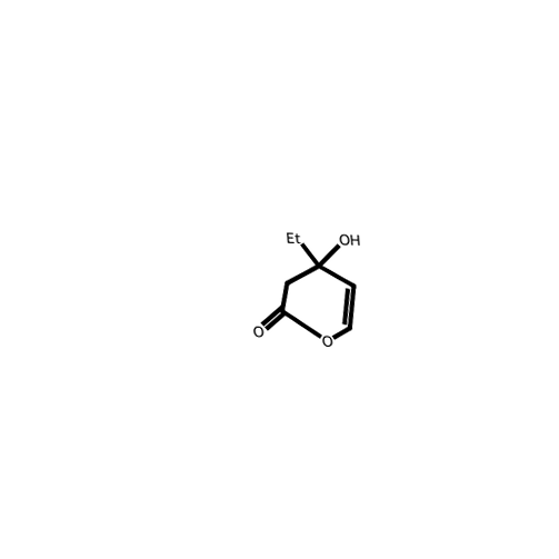 CCC1(O)C=COC(=O)C1